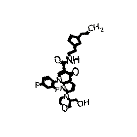 C=CCC1CCC(CCNC(=O)c2cn(-c3ccc(F)cc3F)c3nc(N4CCOCC4CO)ccc3c2=O)C1